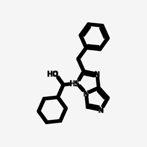 OC(C1CCCCC1)[SH]1C(Cc2ccccc2)=Nc2cncn21